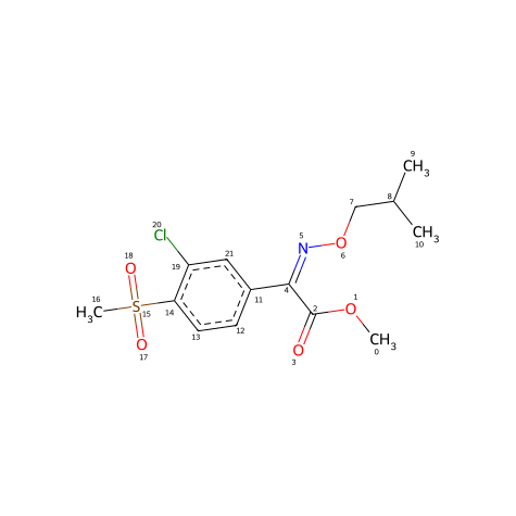 COC(=O)C(=NOCC(C)C)c1ccc(S(C)(=O)=O)c(Cl)c1